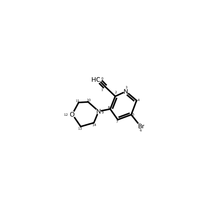 C#Cc1ncc(Br)cc1N1CCOCC1